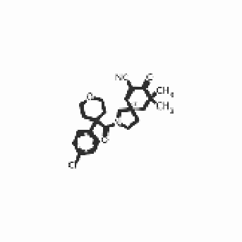 CC1(C)C[C@@]2(C=C(C#N)C1=O)CCN(C(=O)C1(c3ccc(Cl)cc3)CCOCC1)C2